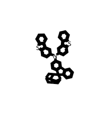 c1ccc2c(c1)-c1cc(N(c3ccc4sc5ccccc5c4c3)c3ccc4sc5ccccc5c4c3)ccc1C21C2CC3CC(C2)CC1C3